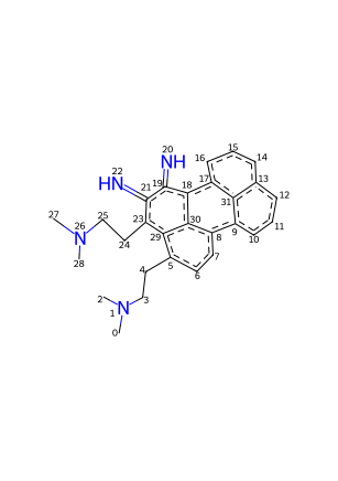 CN(C)CCc1ccc2c3cccc4cccc(c5c(=N)c(=N)c(CCN(C)C)c1c25)c43